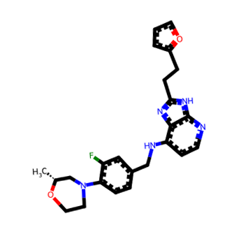 C[C@@H]1CN(c2ccc(CNc3ccnc4[nH]c(CCc5ccco5)nc34)cc2F)CCO1